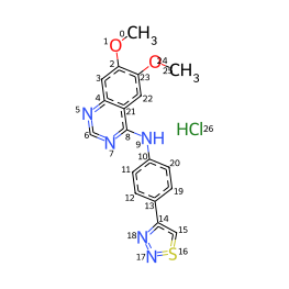 COc1cc2ncnc(Nc3ccc(-c4csnn4)cc3)c2cc1OC.Cl